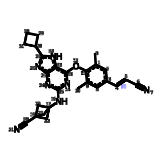 Cc1cc(/C=C/C#N)cc(C)c1Oc1nc(NC23CC(C#N)(C2)C3)nc2nc(C3CCC3)[nH]c12